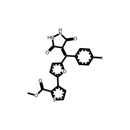 COC(=O)c1sccc1-c1ccc(C(=C2C(=O)NNC2=O)c2ccc(I)cc2)o1